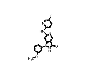 COc1cccc(-n2[nH]c(=O)c3cnc(Nc4ccc(F)cn4)cc32)c1